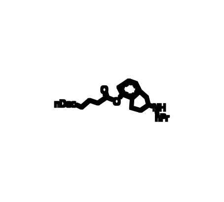 CCCCCCCCCCCCCC(=O)Oc1cccc2c1CCC(NCCC)C2